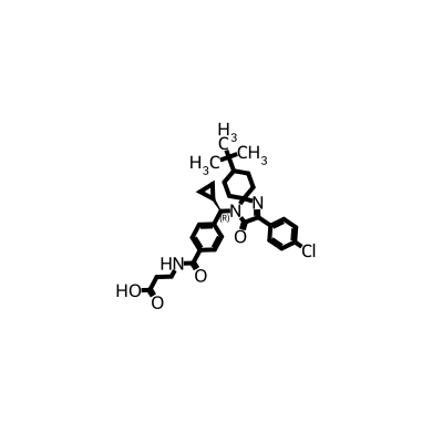 CC(C)(C)C1CCC2(CC1)N=C(c1ccc(Cl)cc1)C(=O)N2[C@@H](c1ccc(C(=O)NCCC(=O)O)cc1)C1CC1